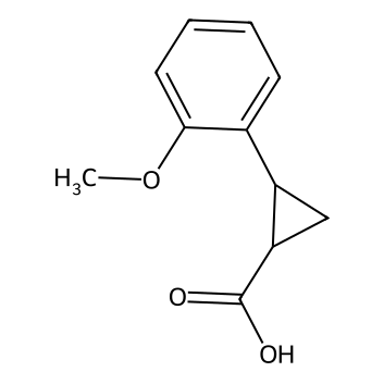 COc1ccccc1C1CC1C(=O)O